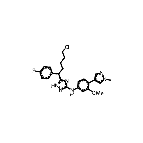 COc1cc(Nc2n[nH]c(C(CCCCCl)c3ccc(F)cc3)n2)ccc1-c1cnn(C)c1